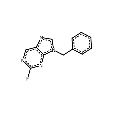 Fc1ncc2ncn(Cc3ccccc3)c2n1